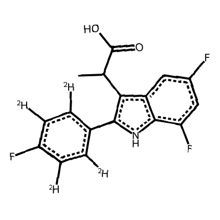 [2H]c1c([2H])c(-c2[nH]c3c(F)cc(F)cc3c2C(C)C(=O)O)c([2H])c([2H])c1F